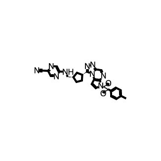 Cc1ccc(S(=O)(=O)n2ccc3c2ncc2nnc([C@@H]4CC[C@H](CNc5cnc(C#N)cn5)C4)n23)cc1